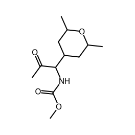 COC(=O)NC(C(C)=O)C1CC(C)OC(C)C1